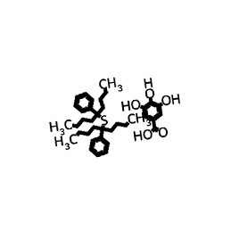 CCCCC(CCCC)(SC(CCCC)(CCCC)c1ccccc1)c1ccccc1.O=C(O)c1cc(O)c(O)c(O)c1